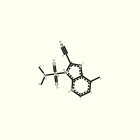 Cc1ccnc2c1nc(C#N)n2S(=O)(=O)N(C)C